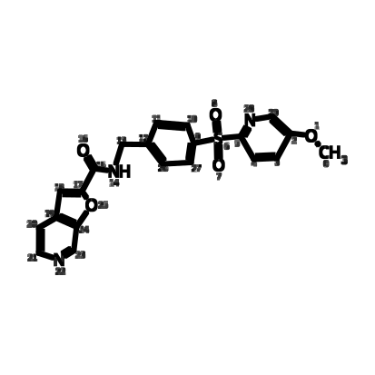 COc1ccc(S(=O)(=O)c2ccc(CNC(=O)c3cc4ccncc4o3)cc2)nc1